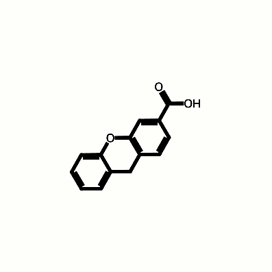 O=C(O)c1ccc2c(c1)Oc1ccccc1C2